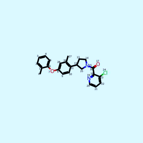 Cc1ccccc1Oc1ccc(C2CCN(C(=O)c3ncccc3Cl)C2)c(C)c1